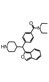 CCN(CC)C(=O)c1ccc(C(c2occ3ccccc23)C2CCNCC2)cc1